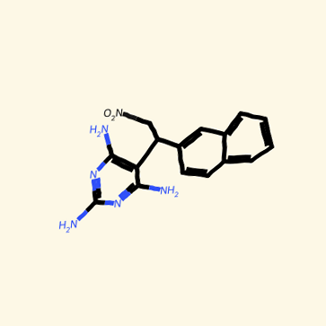 Nc1nc(N)c(C(C[N+](=O)[O-])c2ccc3ccccc3c2)c(N)n1